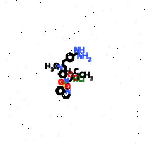 CC(C)OC(=O)CN(c1ccc2c(c1)cc(Cc1ccc(C(=N)N)cc1)n2C)S(=O)(=O)c1cccc2cccnc12.Cl